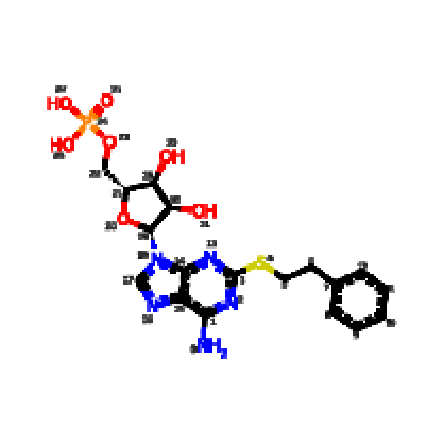 Nc1nc(SCCc2ccccc2)nc2c1ncn2[C@@H]1O[C@H](COP(=O)(O)O)[C@@H](O)[C@H]1O